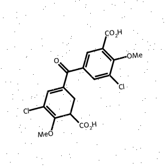 COC1=C(Cl)C=C(C(=O)c2cc(Cl)c(OC)c(C(=O)O)c2)CC1C(=O)O